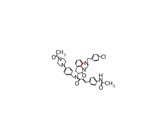 CC(=O)Nc1ccc(C=CC(=O)N(Cc2ccc(N3CCN(C(C)=O)CC3)cc2)[C@@H](Cc2ccccc2)C(=O)N2CCN(Cc3ccc(Cl)cc3)CC2)cc1